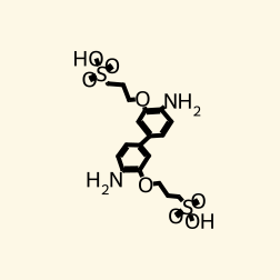 Nc1ccc(-c2ccc(N)c(OCCCS(=O)(=O)O)c2)cc1OCCCS(=O)(=O)O